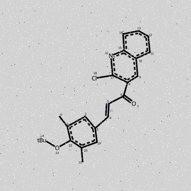 Cc1cc(/C=C/C(=O)c2cc3ccccc3nc2Cl)cc(C)c1OC(C)(C)C